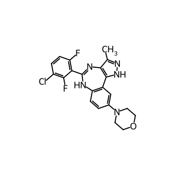 Cc1n[nH]c2c1N=C(c1c(F)ccc(Cl)c1F)Nc1ccc(N3CCOCC3)cc1-2